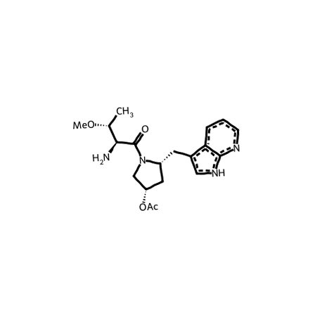 CO[C@H](C)[C@H](N)C(=O)N1C[C@@H](OC(C)=O)C[C@H]1Cc1c[nH]c2ncccc12